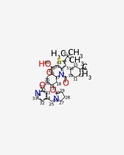 CC(C)(C)c1cc(N(C(=O)[C@H]2CC[C@H](C)CC2)[C@H]2CC[C@H](Oc3cc(CN4CCCC4=O)ccn3)CC2)c(C(=O)O)s1